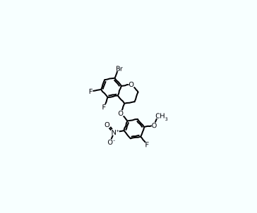 COc1cc(OC2CCOc3c(Br)cc(F)c(F)c32)c([N+](=O)[O-])cc1F